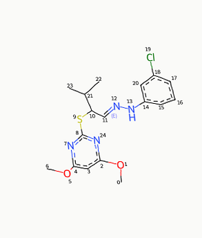 COc1cc(OC)nc(SC(/C=N/Nc2cccc(Cl)c2)C(C)C)n1